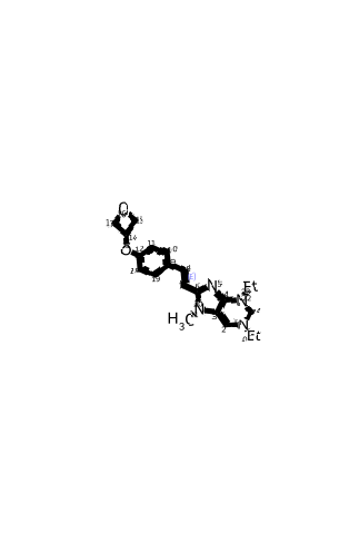 CCN1C=C2C(=NC(/C=C/c3ccc(OC4COC4)cc3)N2C)N(CC)C1